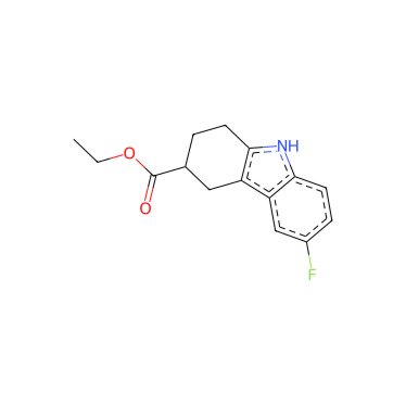 CCOC(=O)C1CCc2[nH]c3ccc(F)cc3c2C1